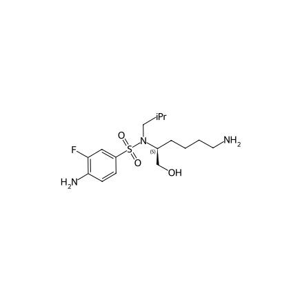 CC(C)CN([C@H](CO)CCCCN)S(=O)(=O)c1ccc(N)c(F)c1